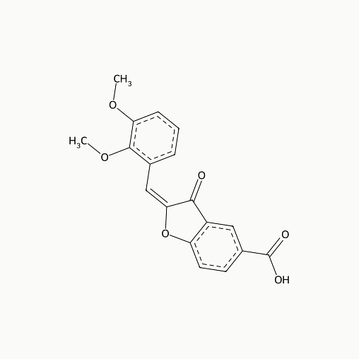 COc1cccc(C=C2Oc3ccc(C(=O)O)cc3C2=O)c1OC